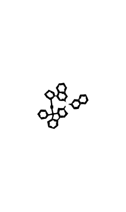 C(#CC1(c2ccccc2)c2ccccc2-c2ccc(N(c3ccc4ccccc4c3)c3ccc4ccccc4c3)cc21)c1ccccc1